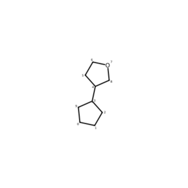 C1CC[C](C2CCOC2)C1